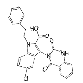 O=C(O)c1c(-n2c(=O)[nH]c3ccccc3c2=O)c2cc(Cl)ccc2n1CCc1ccccc1